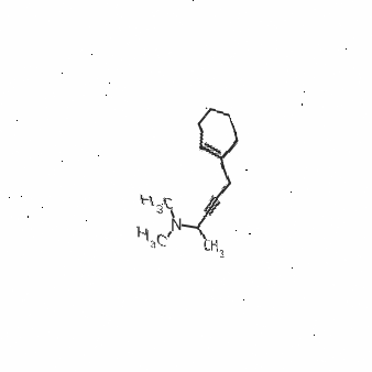 CC(C#CCC1=CC[CH]CC1)N(C)C